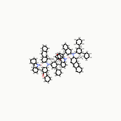 Cc1c2c(cc3cc4ccccc4cc13)B1c3c(cc4ccccc4c3-c3cccc4c5c(-c6c(-c7ccccc7)cc(N7c8cc9c(oc%10ccccc%109)c9c8B(c8cc%10cc%11ccccc%11cc%10c(C)c87)n7c8ccccc8c8cccc-9c87)cc6-c6ccccc6)cccc5n1c34)N2c1cc(-c2ccccc2)cc(-c2ccccc2)c1